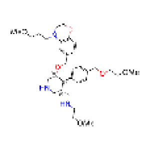 COCCCN1CCOc2ccc(CO[C@H]3CNC[C@@H](CNCCOC)[C@@H]3c3ccc(COCCOC)cc3)cc21